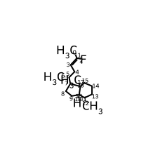 CC(F)=CC[C@@H](C)C1CC[C@H]2[C@@H](C)CCC[C@]12C